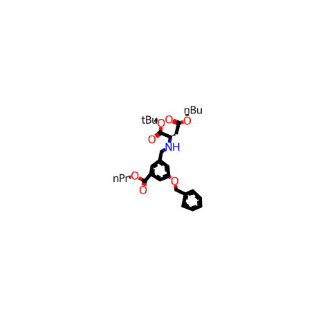 CCCCOC(=O)C[C@H](NCc1cc(OCc2ccccc2)cc(C(=O)OCCC)c1)C(=O)OC(C)(C)C